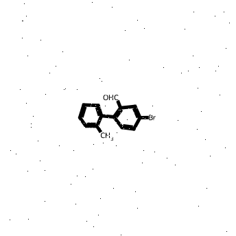 Cc1ccccc1-c1ccc(Br)cc1C=O